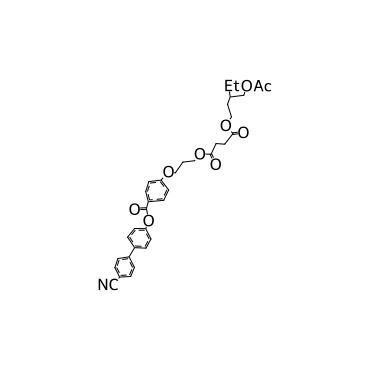 CCC(CCOC(=O)CCC(=O)OCCCOc1ccc(C(=O)Oc2ccc(-c3ccc(C#N)cc3)cc2)cc1)COC(C)=O